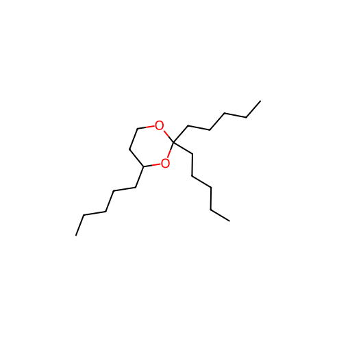 CCCCCC1CCOC(CCCCC)(CCCCC)O1